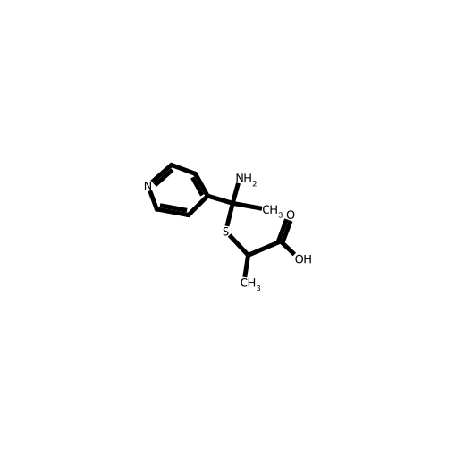 CC(SC(C)(N)c1ccncc1)C(=O)O